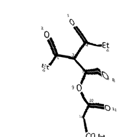 CCC(=O)C(C(=O)CC)C(=O)OC(=O)CC(=O)O